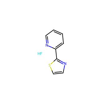 F.c1ccc(-c2nccs2)nc1